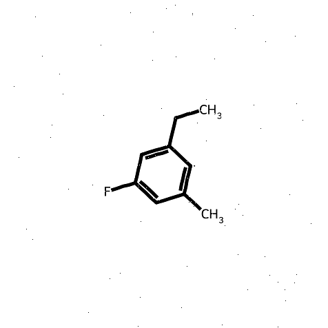 CCc1[c]c(C)cc(F)c1